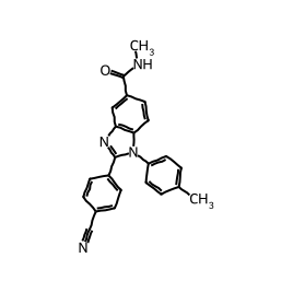 CNC(=O)c1ccc2c(c1)nc(-c1ccc(C#N)cc1)n2-c1ccc(C)cc1